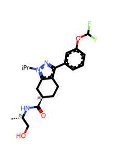 CC(C)n1nc(-c2cccc(OC(F)F)c2)c2c1C[C@H](C(=O)N[C@@H](C)CO)CC2